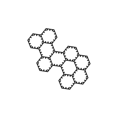 c1cc2cccc3c2c(c1)c1cccc2c1c3c1ccc3ccc4ccc5cccc6c5c4c3c1c62